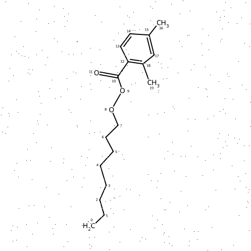 [CH2]CCCCCCCOOC(=O)c1ccc(C)cc1C